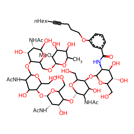 CCCCCCC#CCCCOc1cccc(C(=O)N[C@@H]2C(O[C@@H]3C(CO)O[C@@H](OC4C(CO)O[C@@H](O[C@@H]5C(CO)OC(OC6C(CO[C@@H]7OC(C)C(O)[C@H](O)[C@H]7OC)OC(O)[C@@H](NC(C)=O)[C@H]6O)C(NC(C)=O)C5O)[C@@H](NC(C)=O)[C@H]4O)C(NC(C)=O)C3O)OC(CO)[C@@H](O)[C@@H]2O)c1